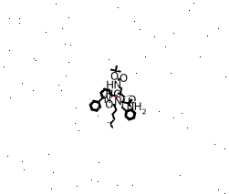 CCCCCC(=O)N(Cc1cccc(-c2ccccc2)n1)[C@@](Cc1ccccc1)(C(N)=O)[C@@H](C)C(O)CNC(=O)OC(C)(C)C